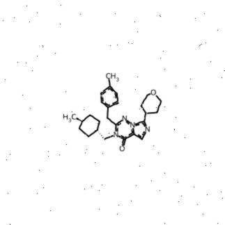 Cc1ccc(Cc2nn3c(C4CCOCC4)ncc3c(=O)n2C[C@H]2CC[C@H](C)CC2)cc1